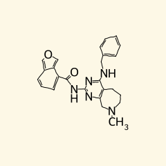 CN1CCCc2c(nc(NC(=O)c3cccc4cocc34)nc2NCc2ccccc2)C1